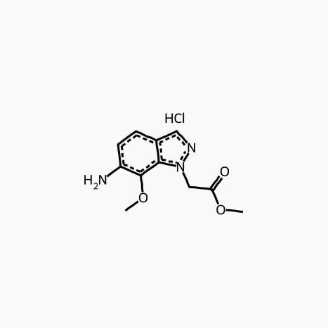 COC(=O)Cn1ncc2ccc(N)c(OC)c21.Cl